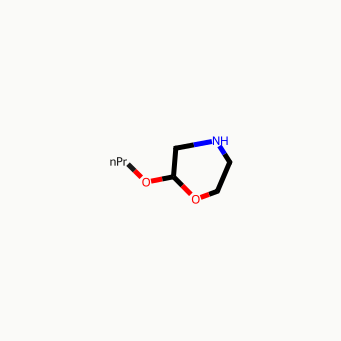 CCCOC1CNCCO1